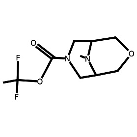 CN1C2COCC1CN(C(=O)OC(C)(F)F)C2